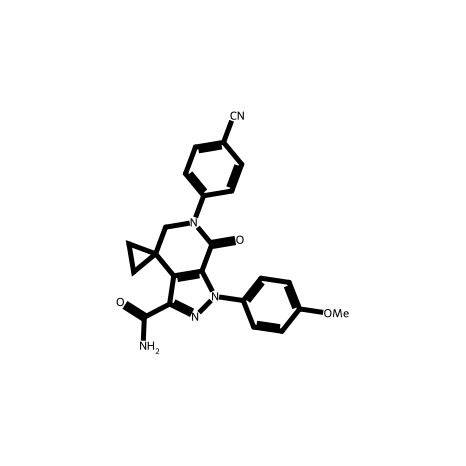 COc1ccc(-n2nc(C(N)=O)c3c2C(=O)N(c2ccc(C#N)cc2)CC32CC2)cc1